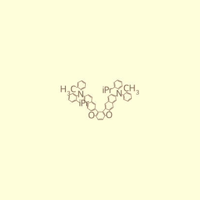 Cc1ccccc1N(c1ccc2cc3c(cc2c1)oc1ccc2oc4cc5cc(N(c6ccccc6C)c6ccccc6C(C)C)ccc5cc4c2c13)c1ccccc1C(C)C